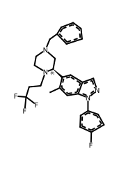 Cc1cc2c(cnn2-c2ccc(F)cc2)cc1[C@@H]1CN(Cc2ccccc2)CCN1CCC(F)(F)F